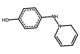 Oc1ccc(NN2C=CC=CC2)cc1